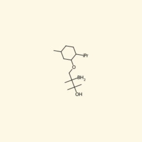 BC(C)(COC1CC(C)CCC1C(C)C)C(C)(C)O